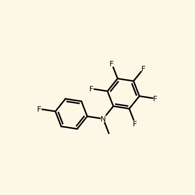 CN(c1ccc(F)cc1)c1c(F)c(F)c(F)c(F)c1F